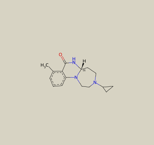 Cc1cccc2c1C(=O)N[C@@H]1CCN(C3CC3)CCN21